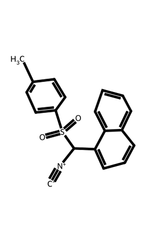 [C-]#[N+]C(c1cccc2ccccc12)S(=O)(=O)c1ccc(C)cc1